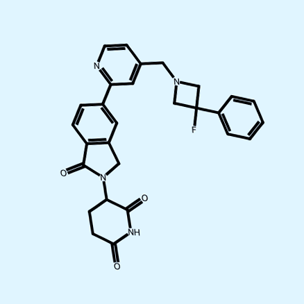 O=C1CCC(N2Cc3cc(-c4cc(CN5CC(F)(c6ccccc6)C5)ccn4)ccc3C2=O)C(=O)N1